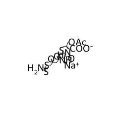 CC(=O)OCC1=C(C(=O)[O-])N2C(=O)C(NC(=O)CC(=O)CSC(N)=S)[C@@H]2SC1.[Na+]